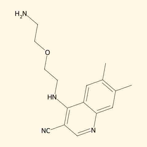 Cc1cc2ncc(C#N)c(NCCOCCN)c2cc1C